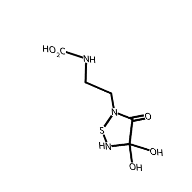 O=C(O)NCCN1SNC(O)(O)C1=O